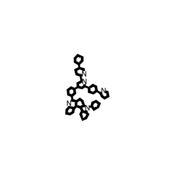 c1ccc(-c2ccc(-c3cc(-c4cccc(-c5nc6ccccc6c6c5ccc5c6c6ccccc6n5-c5ccccc5)c4)cc(-c4ccc(-c5ccccn5)cc4)n3)nc2)cc1